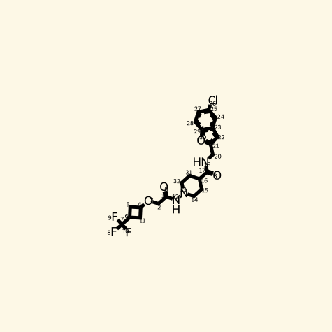 O=C(COC1CC(C(F)(F)F)C1)NN1CCC(C(=O)NCc2cc3cc(Cl)ccc3o2)CC1